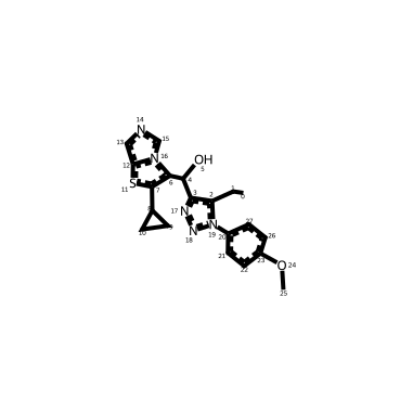 CCc1c(C(O)c2c(C3CC3)sc3cncn23)nnn1-c1ccc(OC)cc1